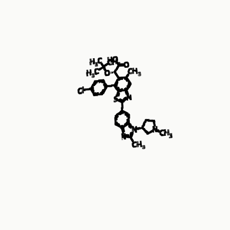 Cc1cc2nc(-c3ccc4nc(C)n([C@H]5CCN(C)C5)c4c3)sc2c(-c2ccc(Cl)cc2)c1[C@H](OC(C)(C)C)C(=O)O